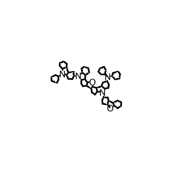 c1ccc(N(c2ccccc2)c2ccc3c(c2)c2c4oc5c(ccc6c5c5ccccc5n6-c5ccc6c(c5)c5ccccc5n6-c5ccccc5)c4ccc2n3-c2ccc3oc4ccccc4c3c2)cc1